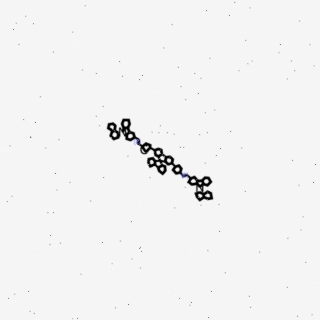 C(=C\c1ccc2c(c1)c1ccccc1n2-c1cccc2ccccc12)/c1ccc(-c2ccc3c(c2)C2(c4ccccc4-c4ccccc42)c2cc(-c4ccc(/C=C/c5ccc6c(c5)c5ccccc5n6-c5cccc6ccccc56)cc4)ccc2-3)cc1